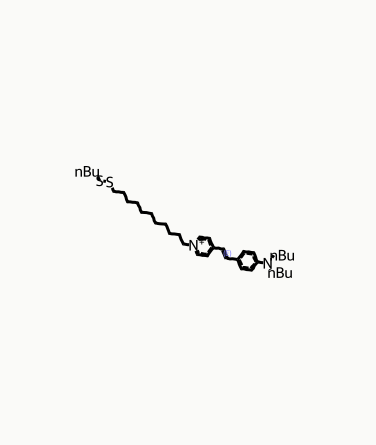 CCCCSSCCCCCCCCCCC[n+]1ccc(/C=C/c2ccc(N(CCCC)CCCC)cc2)cc1